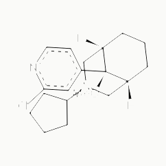 CO[C@]1(c2ccnc(Cl)c2)[C@@H]2CCC[C@H]1CN(C1CCCC1)C2